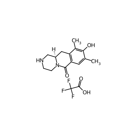 Cc1cc2c(c(C)c1O)C[C@@H]1CNCCN1C2=O.O=C(O)C(F)(F)F